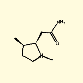 C[C@@H]1CCN(C)[C@@H]1CC(N)=O